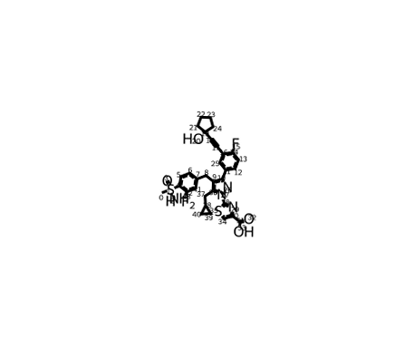 C[SH](N)(=O)c1ccc(Cc2c(-c3ccc(F)c(C#CC4(O)CCCC4)c3)nn(-c3nc(C(=O)O)cs3)c2CC2CC2)cc1F